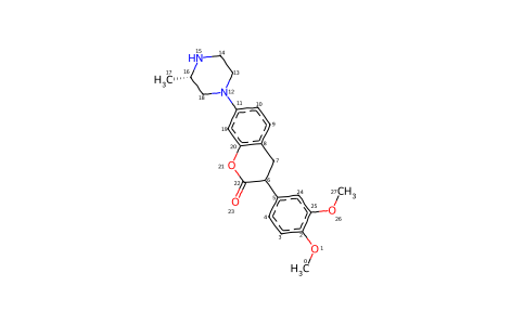 COc1ccc(C2Cc3ccc(N4CCN[C@@H](C)C4)cc3OC2=O)cc1OC